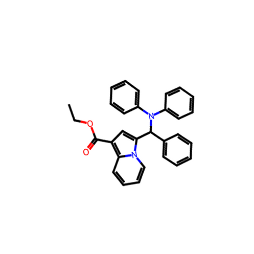 CCOC(=O)c1cc(C(c2ccccc2)N(c2ccccc2)c2ccccc2)n2ccccc12